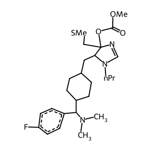 CCCN1C=NC(CSC)(OC(=O)OC)C1CC1CCC(C(c2ccc(F)cc2)N(C)C)CC1